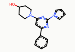 OC1CCN(c2cc(-c3ccccc3)nc(-n3cccc3)n2)CC1